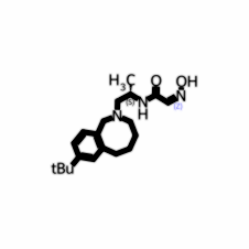 C[C@@H](CN1CCCCc2cc(C(C)(C)C)ccc2C1)NC(=O)/C=N\O